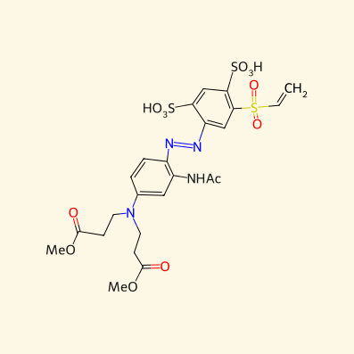 C=CS(=O)(=O)c1cc(N=Nc2ccc(N(CCC(=O)OC)CCC(=O)OC)cc2NC(C)=O)c(S(=O)(=O)O)cc1S(=O)(=O)O